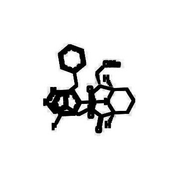 COC[C@H]1CN(Cc2cnnn2Cc2ccccc2)C(=O)[C@@H]2CCC[C@H]1N2S(=O)(=O)c1cccc(F)c1